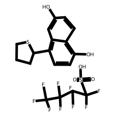 O=S(=O)(O)C(F)(F)C(F)(F)C(F)(F)C(F)(F)F.Oc1ccc2c(O)ccc(C3CCCS3)c2c1